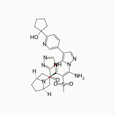 CS(=O)(=O)c1c([C@H]2C[C@H]3CC[C@@H](C2)N3C(=O)c2nnc[nH]2)nc2c(-c3ccc(C4(O)CCCC4)nc3)cnn2c1N